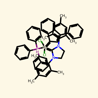 Cc1cc(C)c(N2CCN(c3c(C)cc(C)cc3C)[C]2=[Ru]([Cl])([Cl])(=[C]2C=C(c3ccccc3)c3ccccc32)[PH](c2ccccc2)(c2ccccc2)c2ccccc2)c(C)c1